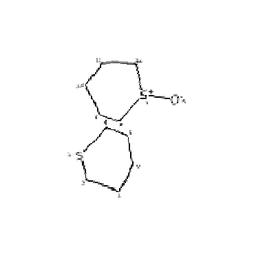 C1CCSCC1.[O-][S+]1CCCCC1